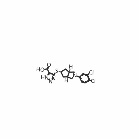 O=C(O)c1[nH]nnc1S[C@@H]1C[C@@H]2CN(c3ccc(Cl)c(Cl)c3)C[C@@H]2C1